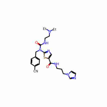 CCN(CC)CCNC(=O)N(Cc1ccc(C#N)cc1)c1ncc(C(=O)NCCCn2ccnc2)s1